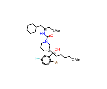 CNC[C@H](CC1CCCCC1)NC(=O)N1CCC[C@@H]([C@@](O)(CCCCOC)c2cc(F)ccc2Br)C1